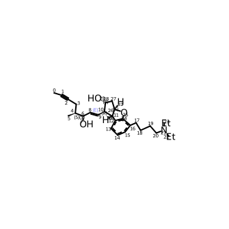 CC#CC[C@H](C)[C@H](O)/C=C/[C@@H]1[C@H]2c3cccc(CCCCN(CC)CC)c3O[C@H]2C[C@H]1O